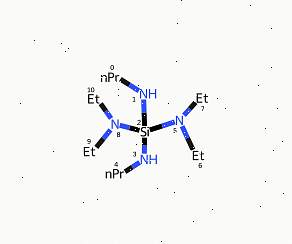 CCCN[Si](NCCC)(N(CC)CC)N(CC)CC